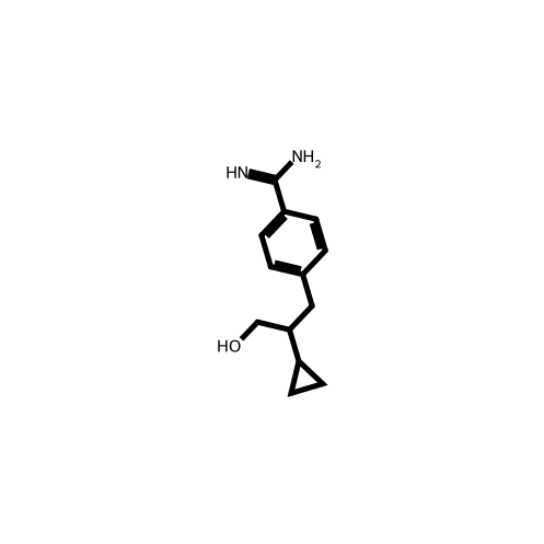 N=C(N)c1ccc(CC(CO)C2CC2)cc1